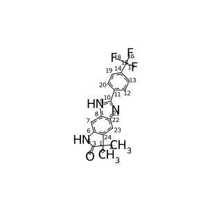 CC1(C)C(=O)Nc2cc3[nH]c(-c4ccc(C(F)(F)F)cc4)nc3cc21